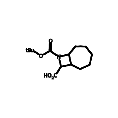 CC(C)(C)OC(=O)N1C2CCCCCC2C1C(=O)O